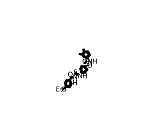 CCOc1ccc(C(=O)NC(=S)Nc2ccc(S(=O)(=O)Nc3ccc(C)c(C)c3)cc2)cc1